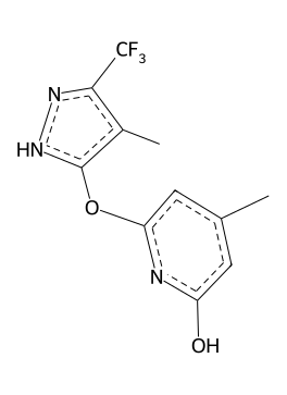 Cc1cc(O)nc(Oc2[nH]nc(C(F)(F)F)c2C)c1